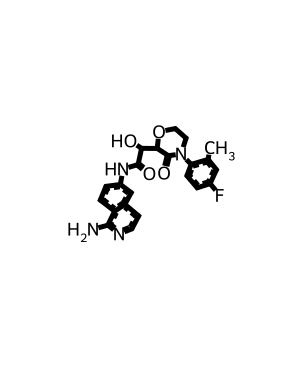 Cc1cc(F)ccc1N1CCOC(C(O)C(=O)Nc2ccc3c(N)nccc3c2)C1=O